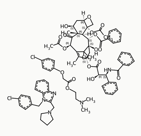 CC(=O)O[C@H]1C(=O)[C@@]2(C)[C@H]([C@H](OC(=O)c3ccccc3)[C@]3(O)C[C@H](OC(=O)[C@H](O)[C@@H](NC(=O)c4ccccc4)c4ccccc4)C(C)=C1C3(C)C)[C@]1(OC(C)=O)CO[C@@H]1C[C@@H]2O.CN(C)CCOC(=O)COc1ccc(Cl)cc1.Clc1ccc(Cn2c(CN3CCCC3)nc3ccccc32)cc1